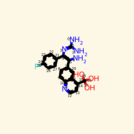 NC(N)=N/C(=C(\N)c1ccc2nccc(C(O)(O)O)c2c1)c1ccc(F)cc1